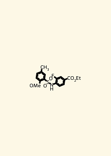 CCOC(=O)c1ccc(NS(=O)(=O)c2cc(C)ccc2OC)c(F)c1